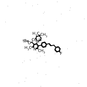 Cc1nc(C)c([C@H](OC(C)(C)C)C(=O)O)c(N2CCC(C)(C)CC2)c1-c1ccc(/C=C/Cc2ccc(F)cc2)cc1